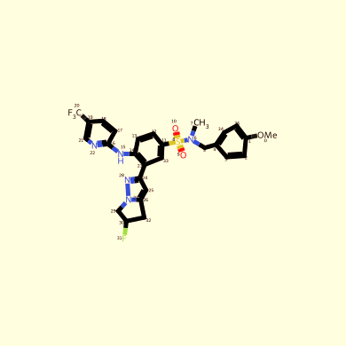 COc1ccc(CN(C)S(=O)(=O)c2ccc(Nc3ccc(C(F)(F)F)cn3)c(-c3cc4n(n3)CC(F)C4)c2)cc1